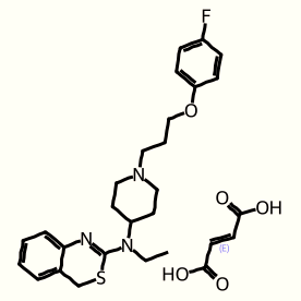 CCN(C1=Nc2ccccc2CS1)C1CCN(CCCOc2ccc(F)cc2)CC1.O=C(O)/C=C/C(=O)O